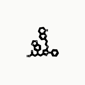 O=C(O)CC(Cc1cc(OCCc2ccc3c(n2)NCCC3)n(-c2ccccc2)n1)c1ccc2c(c1)OCO2